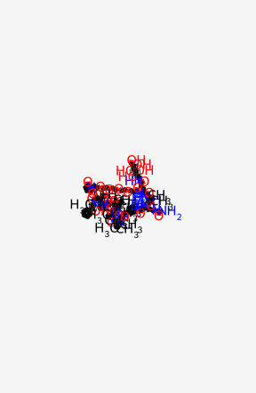 CC[C@H](C)[C@@H]([C@@H](CC(=O)N1CCC[C@H]1[C@H](OC)[C@@H](C)C(=O)N[C@H](C)[C@@H](O)c1ccccc1)OC)N(C)C(=O)[C@@H](NC(=O)[C@H](C(C)C)N(C)C(=O)OCc1ccc(NC(=O)[C@H](CCCNC(N)=O)NC(=O)[C@@H](NC(=O)C(CCC(=O)NC[C@H](O)[C@@H](O)[C@H](O)[C@H](O)CO)NC(=O)CCOCCOCCOCCOCCN2C(=O)C=CC2=O)C(C)C)cc1)C(C)C